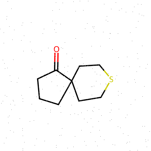 O=C1CCCC12CCSCC2